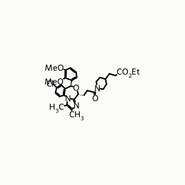 CCOC(=O)CCC1CCN(C(=O)CC[C@H]2O[C@H](c3cccc(OC)c3OC)c3cc(Cl)ccc3-n3c2nc(C)c3C)CC1